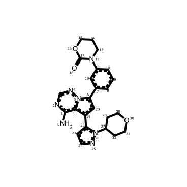 Nc1ncnn2c(-c3cccc(N4CCCOC4=O)c3)cc(-c3ccnn3C3CCOCC3)c12